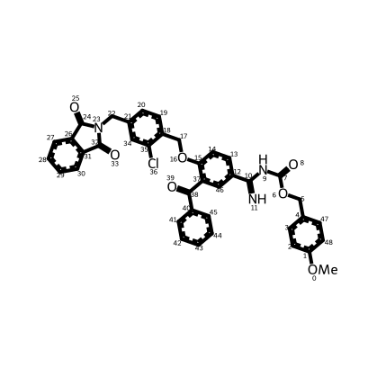 COc1ccc(COC(=O)NC(=N)c2ccc(OCc3ccc(CN4C(=O)c5ccccc5C4=O)cc3Cl)c(C(=O)c3ccccc3)c2)cc1